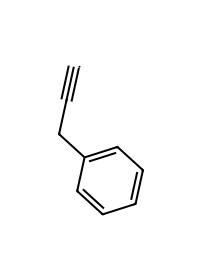 [C]#CCc1ccccc1